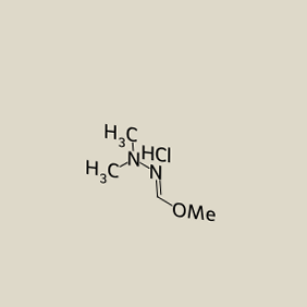 COC=NN(C)C.Cl